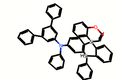 c1ccc(-c2cc(-c3ccccc3)cc(N(c3ccccc3)c3ccc4c(c3)[SiH](c3ccccc3)c3ccccc3[Si]43c4ccccc4Oc4ccccc43)c2)cc1